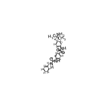 CC(C)(N)Cc1ccc(NS(=O)(=O)c2ccc(NC(=O)NCc3ccccc3)cc2)cc1